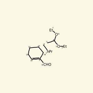 CCCC.CCOC(C)OCC.O=CC1=CCCCC1